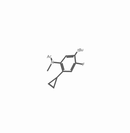 CC(=O)N(C)c1cc(C(C)(C)C)c(F)cc1C1CC1